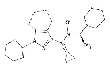 CCN(C(=C1CC1)c1nn(C2CCCCC2)c2c1CCCC2)[C@H](C)C1CCCCC1